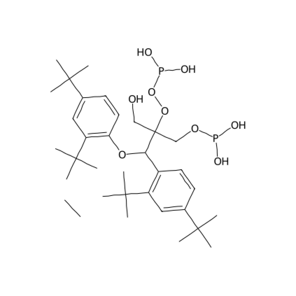 CC.CC(C)(C)c1ccc(OC(c2ccc(C(C)(C)C)cc2C(C)(C)C)C(CO)(COP(O)O)OOP(O)O)c(C(C)(C)C)c1